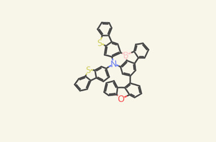 c1ccc2c(c1)B1c3cc4c(cc3N(c3ccc5c(c3)sc3ccccc35)c3cc(-c5cccc6oc7ccccc7c56)cc-2c31)sc1ccccc14